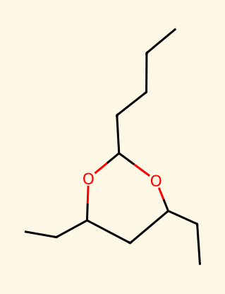 CCCCC1OC(CC)CC(CC)O1